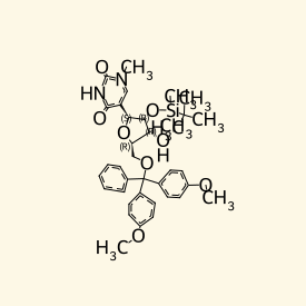 COc1ccc(C(OC[C@H]2O[C@@H](c3cn(C)c(=O)[nH]c3=O)[C@H](O[Si](C)(C)C(C)(C)C)[C@@H]2O)(c2ccccc2)c2ccc(OC)cc2)cc1